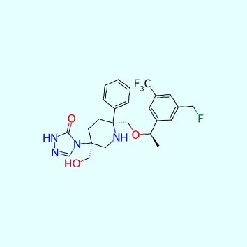 C[C@@H](OC[C@@]1(c2ccccc2)CC[C@](CO)(n2cn[nH]c2=O)CN1)c1cc(CF)cc(C(F)(F)F)c1